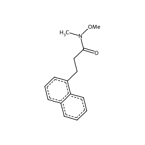 CON(C)C(=O)CCc1cccc2ccccc12